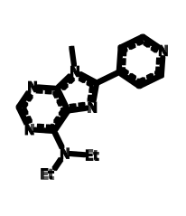 CCN(CC)c1ncnc2c1nc(-c1ccncc1)n2C